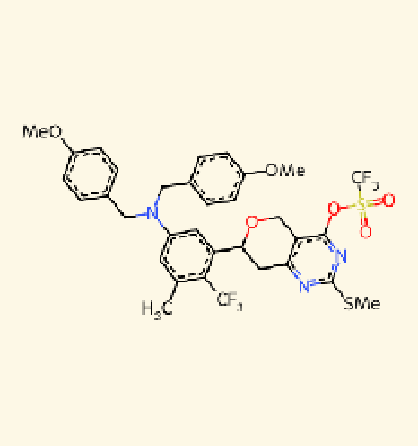 COc1ccc(CN(Cc2ccc(OC)cc2)c2cc(C)c(C(F)(F)F)c(C3Cc4nc(SC)nc(OS(=O)(=O)C(F)(F)F)c4CO3)c2)cc1